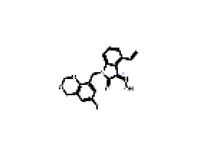 C=Cc1cccc2c1/C(=N/O)C(=O)N2Cc1cc(F)cc2c1OCOC2